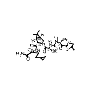 Cc1cnc(C(=O)[C@@H](NC(=O)N[C@H](C(=O)N2C[C@H]3[C@@H]([C@H]2C(=O)NC(CC2CC2)C(=O)C(N)=O)C3(C)C)C(C)(C)C)C(C)C)s1